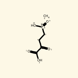 C.O=C(O)C(=O)CC[PH](=O)O